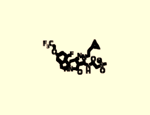 CS(=O)(=O)CC(=O)Nc1c2c(nn1CCC1CC1)C[C@]1(CCc3cc(OCC(F)(F)F)cc(F)c31)NC2=O